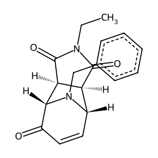 CCN1C(=O)[C@@H]2[C@H](C1=O)[C@H]1C(=O)C=C[C@@H]2N1Cc1ccccc1